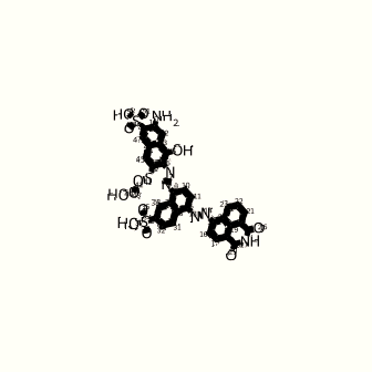 Nc1cc2c(O)c(N=Nc3ccc(N=Nc4ccc5c6c(cccc46)C(=O)NC5=O)c4ccc(S(=O)(=O)O)cc34)c(SOOO)cc2cc1S(=O)(=O)O